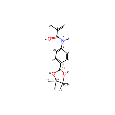 C=C(C)C(=O)N(C)c1ccc(B2OC(C)(C)C(C)(C)O2)cc1